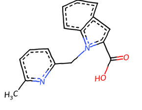 Cc1cccc(Cn2c(C(=O)O)cc3ccccc32)n1